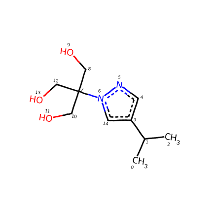 CC(C)c1cnn(C(CO)(CO)CO)c1